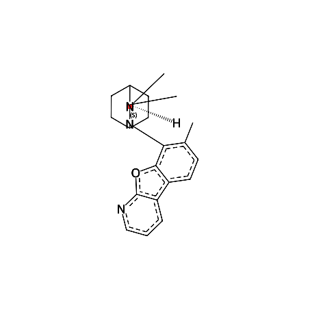 Cc1ccc2c(oc3ncccc32)c1N1C2CCC(CC2)N(C)[C@@H]1C